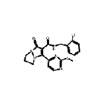 CSc1nccc(-c2c(C(=O)NCc3ccccc3Cl)c(=O)n3n2CCC3)n1